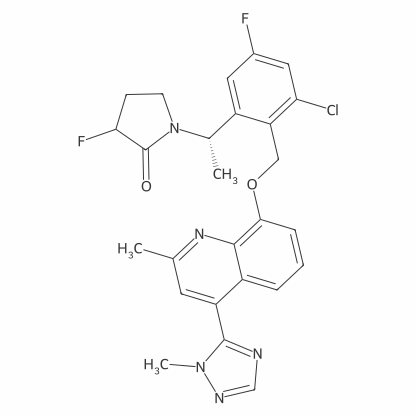 Cc1cc(-c2ncnn2C)c2cccc(OCc3c(Cl)cc(F)cc3[C@H](C)N3CCC(F)C3=O)c2n1